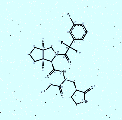 O=C1NCC[C@H]1C[C@@H](NC(=O)[C@H]1[C@@H]2CCC[C@@H]2CN1C(=O)C(F)(F)c1cccc(F)c1)C(=O)CF